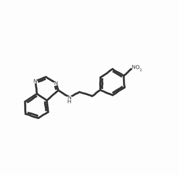 O=[N+]([O-])c1ccc(CCNc2ncnc3ccccc23)cc1